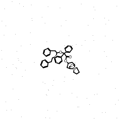 O=C(OC1CC2CCC(C1)[N+]21CCCC1)C(OC(Cc1ccccc1)SCCc1ccccc1)(c1ccccc1)c1ccccc1